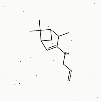 C=CCBC1=CC2CC(C1C)C2(C)C